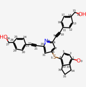 [O]c1ccc(Sc2cc(C#Cc3ccc(CO)cc3)nc(C#Cc3ccc(CO)cc3)c2)c2c1CCC2